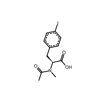 CC(=O)N(C)[C@@H](Cc1ccc(I)cc1)C(=O)O